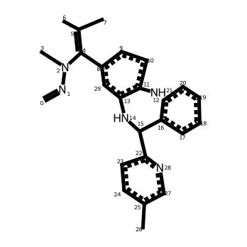 C=NN(C)C(=C(C)C)c1ccc(N)c(NC(c2ccccc2)c2ccc(C)cn2)c1